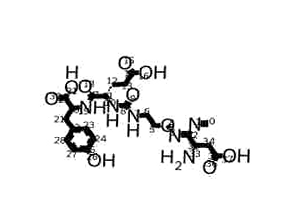 C=N/C(=N\OCCNC(=O)N[C@@H](CCC(=O)O)C(=O)NC(Cc1ccc(O)cc1)C(=O)O)[C@@H](N)CC(=O)O